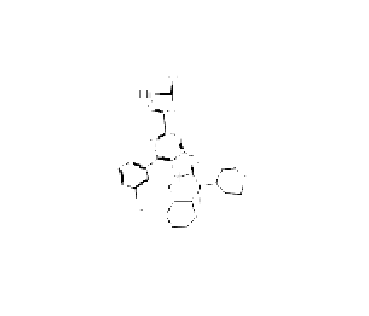 COC(c1nc2nc(-c3n[nH]c(=O)o3)nc(-c3cccc(Cl)c3)c2n1C[C@H]1CC[C@H](C)CC1)C1CCOCC1